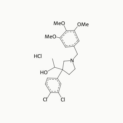 COc1cc(CN2CCC(c3ccc(Cl)c(Cl)c3)(C(C)O)C2)cc(OC)c1OC.Cl